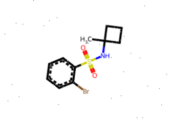 CC1(NS(=O)(=O)c2ccccc2Br)CCC1